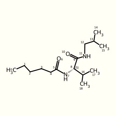 CCCCCC(=O)N[C@H](C(=O)NCC(C)C)C(C)C